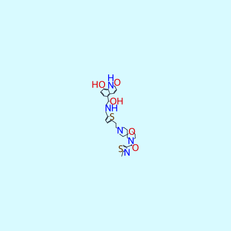 Cc1nc(C(=O)N2CCOC3(CCN(CCc4ccc(CNCC(O)c5ccc(O)c6[nH]c(=O)ccc56)s4)CC3)C2)cs1